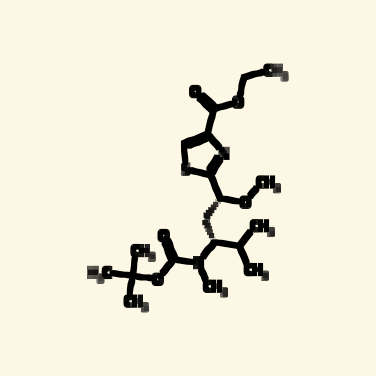 CCOC(=O)c1csc([C@@H](C[C@H](C(C)C)N(C)C(=O)OC(C)(C)C)OC)n1